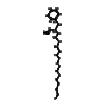 CCCCCCCCCCCCCCCCC(CO)Cc1ccccc1